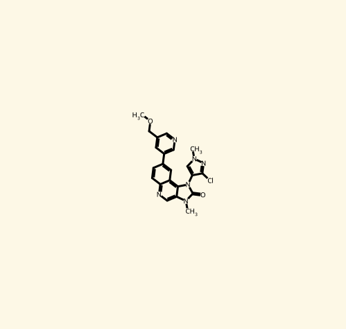 COCc1cncc(-c2ccc3ncc4c(c3c2)n(-c2cn(C)nc2Cl)c(=O)n4C)c1